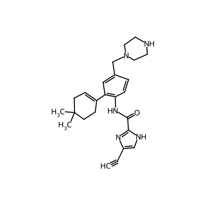 C#Cc1c[nH]c(C(=O)Nc2ccc(CN3CCNCC3)cc2C2=CCC(C)(C)CC2)n1